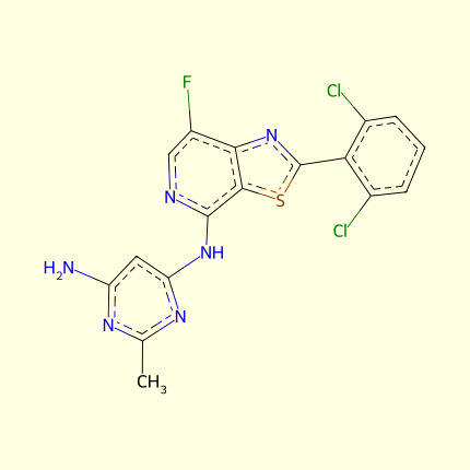 Cc1nc(N)cc(Nc2ncc(F)c3nc(-c4c(Cl)cccc4Cl)sc23)n1